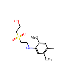 COc1cc(NCCS(=O)(=O)CCO)c(OC)cc1C